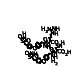 N=C(N)NCCCC(NC(=O)C(N)Cc1ccc(Oc2ccc(CC3SC(=O)NC3=O)cc2)cc1)C(=O)O.NC(Cc1ccc(Oc2ccc(CC3SC(=O)NC3=O)cc2)cc1)C(=O)NC(CS)C(=O)O